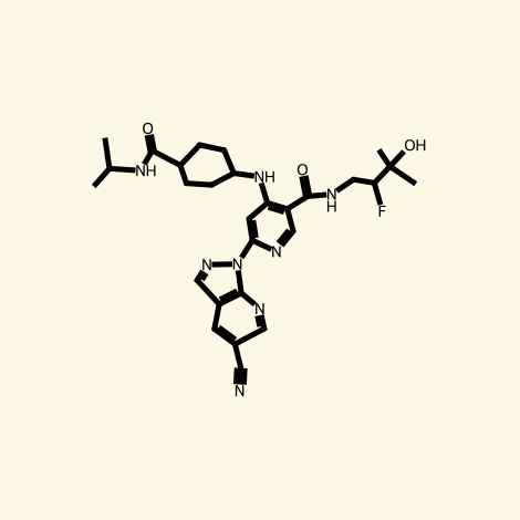 CC(C)NC(=O)C1CCC(Nc2cc(-n3ncc4cc(C#N)cnc43)ncc2C(=O)NCC(F)C(C)(C)O)CC1